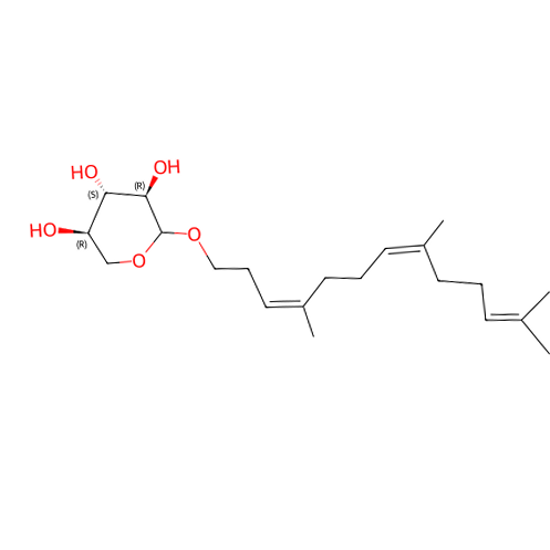 CC(C)=CCCC(C)=CCCC(C)=CCCOC1OC[C@@H](O)[C@H](O)[C@H]1O